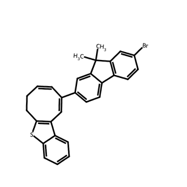 CC1(C)c2cc(Br)ccc2-c2ccc(C3=C/c4c(sc5ccccc45)CC/C=C\3)cc21